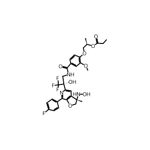 CCC(=O)O[C@H](C)COc1ccc(C(=O)NC[C@@](O)(c2cc3c(c(-c4ccc(F)cc4)n2)OC[C@@]3(C)NO)C(F)(F)F)cc1OC